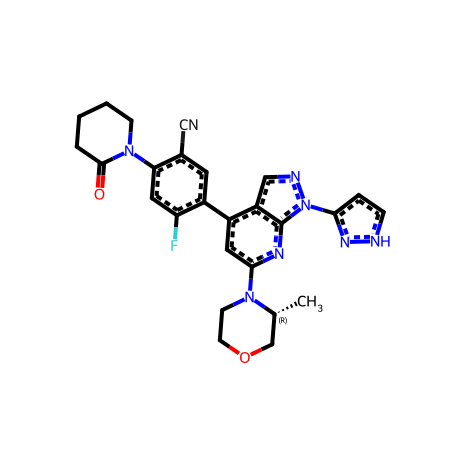 C[C@@H]1COCCN1c1cc(-c2cc(C#N)c(N3CCCCC3=O)cc2F)c2cnn(-c3cc[nH]n3)c2n1